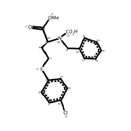 COC(=O)[C@H](CCSc1ccc(Cl)cc1)N(Cc1ccccc1)C(=O)O